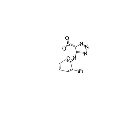 CC(C)c1ccccc1.O=[N+]([O-])C1=NN=NC1=S(=O)=O